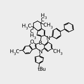 Cc1cc2c3c(c1)N(c1ccc(C(C)(C)C)cc1)c1c(oc4cc(C)ccc14)B3c1cc3c(cc1N2c1ccc(-c2ccccc2)cc1)C(C)(C)CCC3(C)C